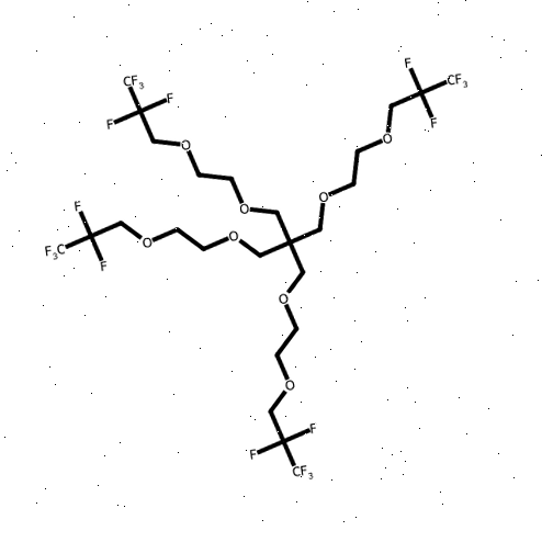 FC(F)(F)C(F)(F)COCCOCC(COCCOCC(F)(F)C(F)(F)F)(COCCOCC(F)(F)C(F)(F)F)COCCOCC(F)(F)C(F)(F)F